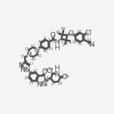 CC1(C)[C@H](NC(=O)c2ccc(N3CCN(Cc4cn(-c5ccc6nnn(C7CCC(=O)NC7=O)c(=O)c6c5)nn4)CC3)cc2)C(C)(C)[C@H]1Oc1ccc(C#N)c(Cl)c1